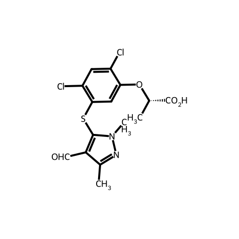 Cc1nn(C)c(Sc2cc(O[C@@H](C)C(=O)O)c(Cl)cc2Cl)c1C=O